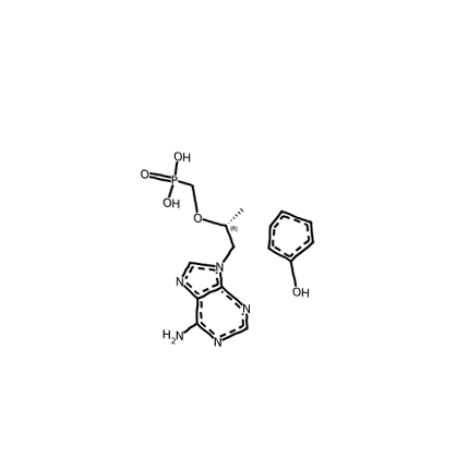 C[C@H](Cn1cnc2c(N)ncnc21)OCP(=O)(O)O.Oc1ccccc1